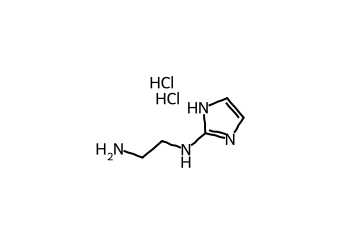 Cl.Cl.NCCNc1ncc[nH]1